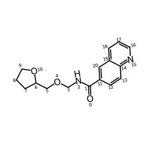 O=C(NCOCC1CCCO1)c1ccc2ncccc2c1